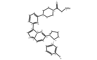 CNCC(=O)N1CCN(c2cccc(-c3cnc4ccc(N5CCC[C@@H]5c5cccc(F)c5)nn34)n2)CC1